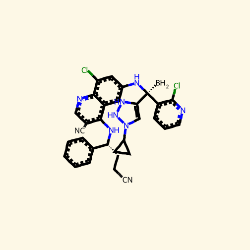 B[C@@](Nc1cc(Cl)c2ncc(C#N)c(N[C@H](CCC#N)c3ccccc3)c2c1)(C1=CN(C2CC2)NN1)c1cccnc1Cl